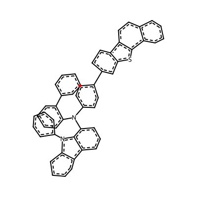 c1ccc(-c2ccccc2N(c2ccc(-c3ccc4c(c3)sc3c5ccccc5ccc43)cc2)c2cccc3c4ccccc4n(-c4ccccc4)c23)cc1